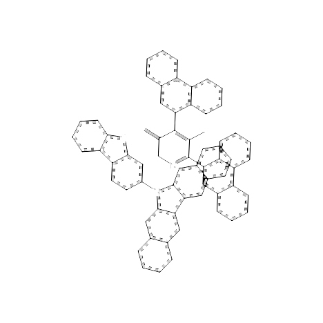 C=C1C(c2cc3ccccc3c3ccccc23)=C(C)C(c2cc3ccccc3c3ccccc23)=N[C@@H]1c1c(-n2c3cc4ccccc4cc3c3cc4ccccc4cc32)ccc2c1oc1ccccc12